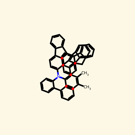 Cc1ccc(N(C2=CC=C3C(=Cc4ccccc43)C23C=CC=C2C3=Cc3ccccc32)c2ccccc2-c2ccccc2)c(-c2cccc3c2Cc2ccccc2-3)c1C